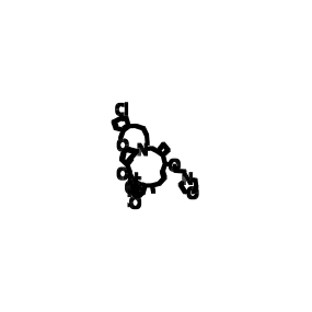 COCCC1C(C)C/C=C/C(OCCN2CCOCC2)C2CCC2CN2CCCCc3cc(Cl)ccc3COc3ccc(cc32)C(=O)NS1(=O)=O